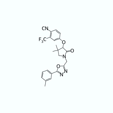 [C-]#[N+]c1ccc(OC2C(=O)N(Cc3nnc(-c4cccc(C)c4)o3)CC2(C)C)cc1C(F)(F)F